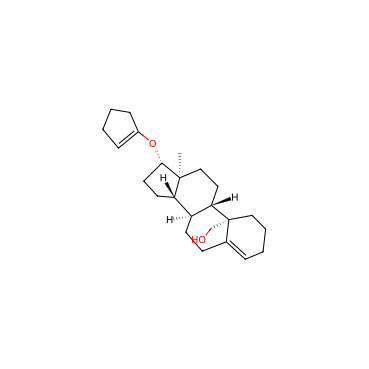 C[C@]12CC[C@H]3[C@@H](CCC4=CCCC[C@@]43CO)[C@@H]1CC[C@@H]2OC1=CCCC1